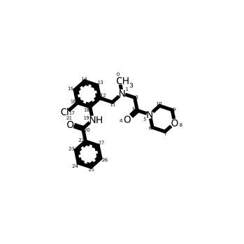 CN(CC(=O)N1CCOCC1)Cc1cccc(Cl)c1NC(=O)c1ccccc1